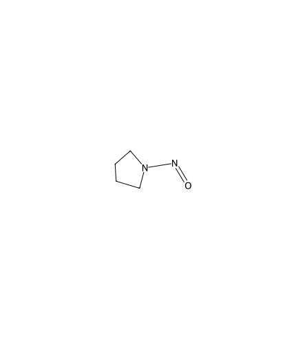 O=NN1CCCC1